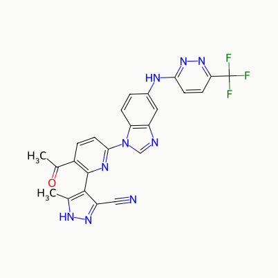 CC(=O)c1ccc(-n2cnc3cc(Nc4ccc(C(F)(F)F)nn4)ccc32)nc1-c1c(C#N)n[nH]c1C